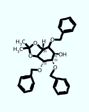 CC1(C)OC2[C@H](O1)C(OCc1ccccc1)[C@@H](O)[C@H](OCc1ccccc1)[C@@H]2OCc1ccccc1